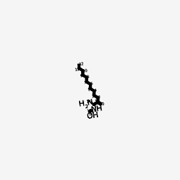 C=C(CCCCCCCCCCC)[C@@H](N)NCO